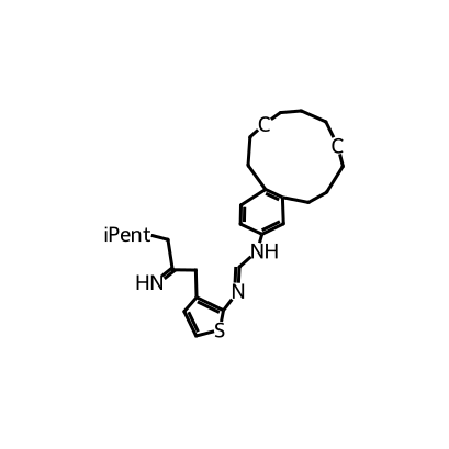 CCCC(C)CC(=N)Cc1ccsc1/N=C/Nc1ccc2c(c1)CCCCCCCCCC2